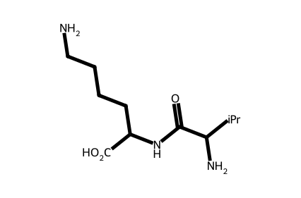 CC(C)C(N)C(=O)NC(CCCCN)C(=O)O